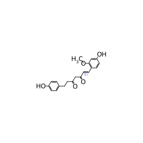 COc1cc(O)ccc1/C=C/C(=O)CC(=O)CCc1ccc(O)cc1